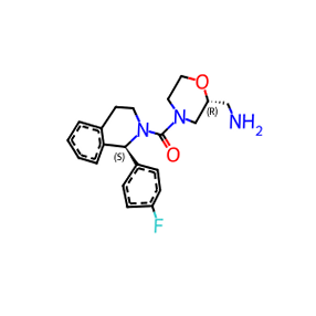 NC[C@@H]1CN(C(=O)N2CCc3ccccc3[C@@H]2c2ccc(F)cc2)CCO1